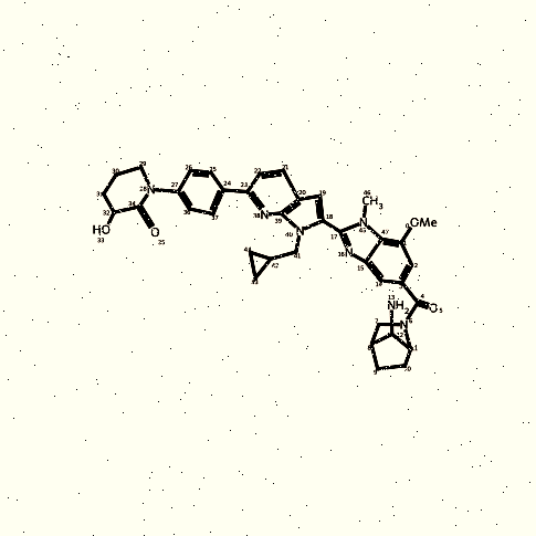 COc1cc(C(=O)N2CC3CCC2C3N)cc2nc(-c3cc4ccc(-c5ccc(N6CCCC(O)C6=O)cc5)nc4n3CC3CC3)n(C)c12